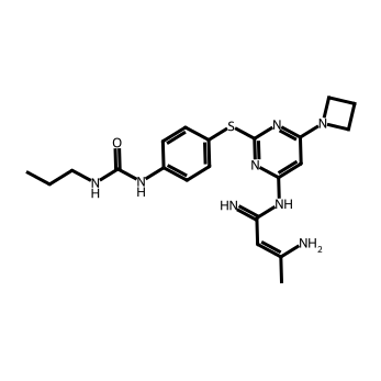 CCCNC(=O)Nc1ccc(Sc2nc(NC(=N)/C=C(/C)N)cc(N3CCC3)n2)cc1